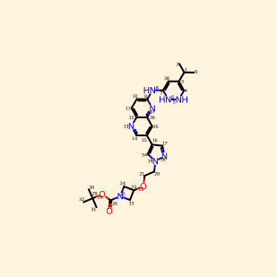 CC(C)C1=CNNC(Nc2ccc3ncc(-c4cnn(CCOC5CN(C(=O)OC(C)(C)C)C5)c4)cc3n2)=C1